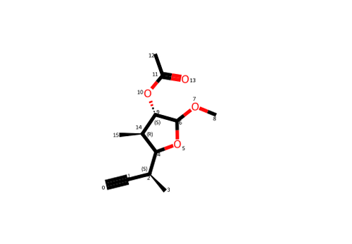 C#C[C@H](C)C1OC(OC)[C@@H](OC(C)=O)[C@@H]1C